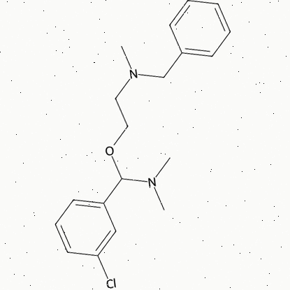 CN(CCOC(c1cccc(Cl)c1)N(C)C)Cc1ccccc1